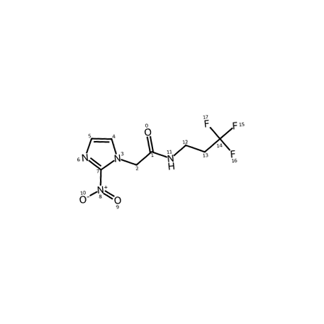 O=C(Cn1ccnc1[N+](=O)[O-])NCCC(F)(F)F